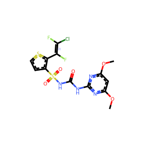 COc1cc(OC)nc(NC(=O)NS(=O)(=O)c2ccsc2/C(F)=C(\F)Cl)n1